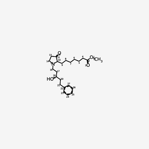 COC(=O)CCCCCCC1C(=O)CCN1CCC(O)CCc1ccccc1